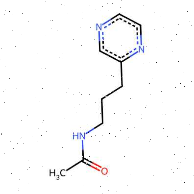 CC(=O)NCCCc1cnccn1